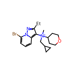 CCc1nn2c(Br)cccc2c1[N+](C)(CC1CC1)C1CCOCC1